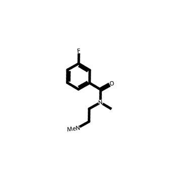 CNCCN(C)C(=O)c1cccc(F)c1